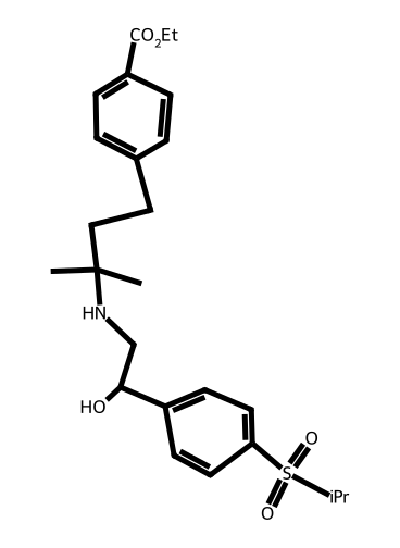 CCOC(=O)c1ccc(CCC(C)(C)NCC(O)c2ccc(S(=O)(=O)C(C)C)cc2)cc1